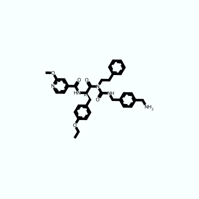 CCOc1ccc(C[C@@H](NC(=O)c2ccnc(OC)c2)C(=O)N(CCc2ccccc2)C(=O)NCc2ccc(CN)cc2)cc1